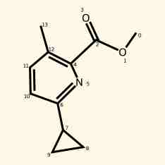 COC(=O)c1nc(C2CC2)ccc1C